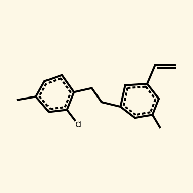 C=Cc1cc(C)cc(CCc2ccc(C)cc2Cl)c1